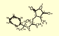 CC(CC1C(=O)OC(=O)C1C)OC(C)(C)c1ccccc1